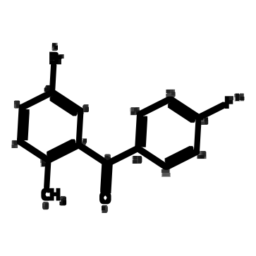 Cc1ccc(Br)cc1C(=O)c1ccc(F)cc1